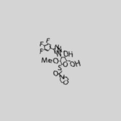 CO[C@@H]1[C@@H](n2cc(-c3cc(F)c(F)c(F)c3)nn2)[C@@H](O)[C@@H](CO)O[C@H]1SCC(=O)N1CCOCC1